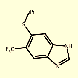 CC(C)Sc1cc2[nH]cnc2cc1C(F)(F)F